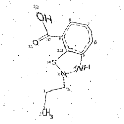 CCCN1Nc2cccc(C(=O)O)c2S1